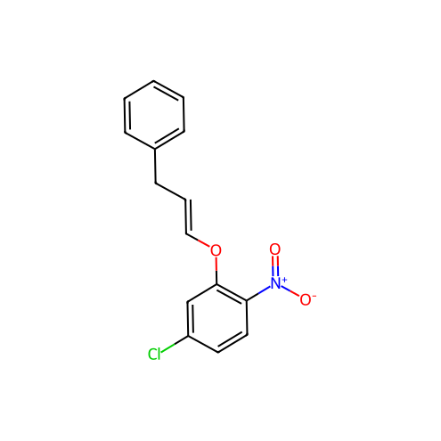 O=[N+]([O-])c1ccc(Cl)cc1OC=CCc1ccccc1